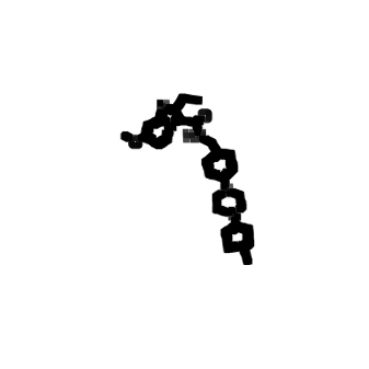 CCc1nc2cc(OC)ccn2c1C(=O)NCc1ccc(N2CCN(c3ccc(C)cc3)CC2)cc1